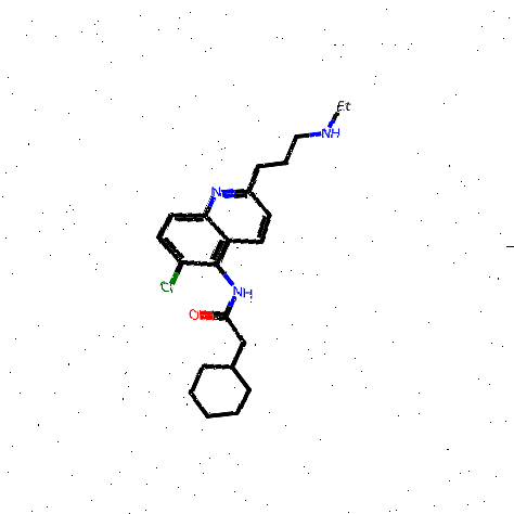 CCNCCCc1ccc2c(NC(=O)CC3CCCCC3)c(Cl)ccc2n1